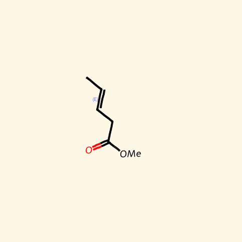 [CH2]OC(=O)C/C=C/C